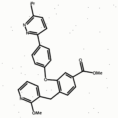 COC(=O)c1ccc(Cc2cccnc2OC)c(Oc2ccc(-c3ccc(C(C)C)nn3)cc2)c1